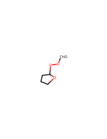 O=COOC1CCCO1